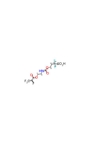 C=C(C(=O)OCCNC(=O)OCCC(F)(F)S(=O)(=O)O)C(F)(F)F